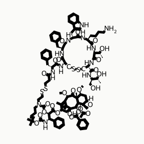 CCCCN(CCSSCCC(=O)N[C@H](Cc1ccccc1)C(=O)N[C@H]1CSSC[C@@H](C(=O)N[C@H](CO)[C@@H](C)O)NC(=O)[C@H]([C@@H](C)O)NC(=O)[C@H](CCCCN)NC(=O)[C@@H](Cc2c[nH]c3ccccc23)NC(=O)[C@H](Cc2ccccc2)NC1=O)C(=O)O[C@@H](C(=O)OC1C[C@@]2(O)[C@@H](OC(=O)c3ccccc3)[C@@H]3[C@]4(OC(C)=O)CO[C@@H]4C[C@H](OC)[C@@]3(C)C(=O)[C@H](OC)C(=C1C)C2(C)C)[C@@H](NC(=O)OC(C)(C)C)c1ccccc1